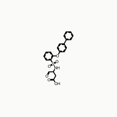 O=CC(CC(=O)O)NS(=O)(=O)c1ccccc1Oc1ccc(-c2ccccc2)cc1